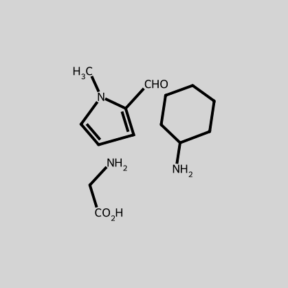 Cn1cccc1C=O.NC1CCCCC1.NCC(=O)O